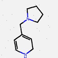 [C]1=CC(CN2CCCC2)=CCN1